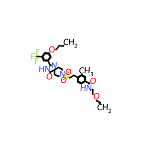 C=CCCOc1cc(C2=NC3(CCN(S(=O)(=O)CCc4ccc(C(=O)NCCOCC=C)cc4C)CC3)C(=O)N2)cc(C(F)(F)F)c1